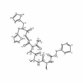 C[C@H](NC(=O)OCc1ccccc1)C(=O)N[C@@H](C)C(=O)N(C)N(C(N)=O)C(=O)/C=C/C(=O)N(Cc1ccco1)Cc1ccco1